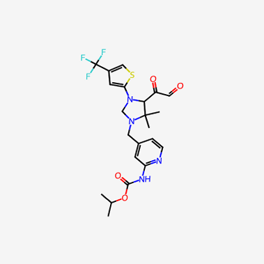 CC(C)OC(=O)Nc1cc(CN2CN(c3cc(C(F)(F)F)cs3)C(C(=O)C=O)C2(C)C)ccn1